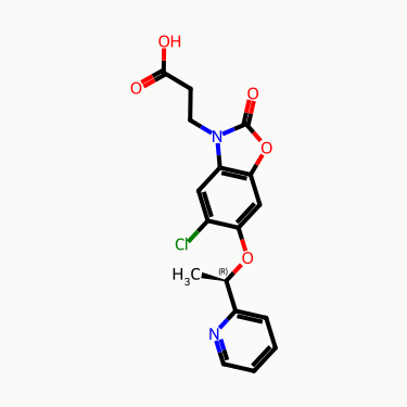 C[C@@H](Oc1cc2oc(=O)n(CCC(=O)O)c2cc1Cl)c1ccccn1